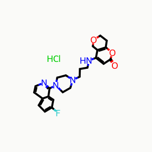 Cl.O=c1cc(NCCCN2CCN(c3nccc4ccc(F)cc34)CC2)c2c(o1)CCOC2